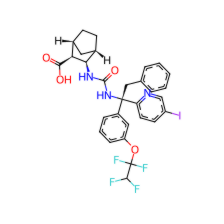 O=C(N[C@@H]1[C@H]2CC[C@H](C2)[C@@H]1C(=O)O)N[C@@](Cc1ccccc1)(c1cccc(OC(F)(F)C(F)F)c1)c1ccc(I)cn1